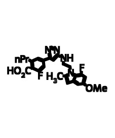 CCCc1cc(-c2cc(NCCn3c(C)cc4cc(OC)cc(F)c43)ncn2)cc(F)c1C(=O)O